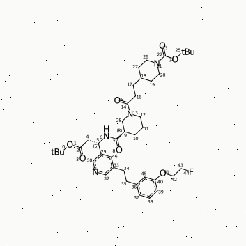 CC(C)(C)OC(=O)C[C@H](NC(=O)[C@@H]1CCCN(C(=O)CCC2CCN(C(=O)OC(C)(C)C)CC2)C1)c1cncc(CCc2cccc(OCCF)c2)c1